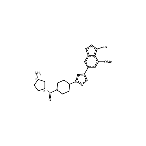 COc1cc(-c2cnn(C3CCN(C(=O)[C@@H]4CC[C@H](N)C4)CC3)c2)cn2ncc(C#N)c12